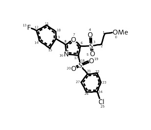 COCCS(=O)(=O)c1oc(-c2ccc(F)cc2)nc1S(=O)(=O)c1ccc(Cl)cc1